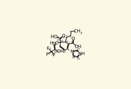 CCCCC1C(C(=O)O)=CC=CC1(C)C(=O)O.O=C(O)C(F)(F)F.c1c[nH]cn1